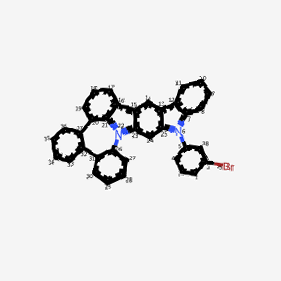 Brc1cccc(-n2c3ccccc3c3cc4c5cccc6c5n(c4cc32)-c2ccccc2-c2ccccc2-6)c1